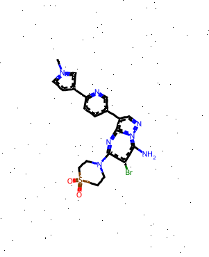 Cn1ccc(-c2ccc(-c3cnn4c(N)c(Br)c(N5CCS(=O)(=O)CC5)nc34)cn2)c1